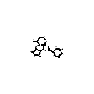 CCC1CCSC(CCc2ccccc2)(Cn2ccnc2)S1